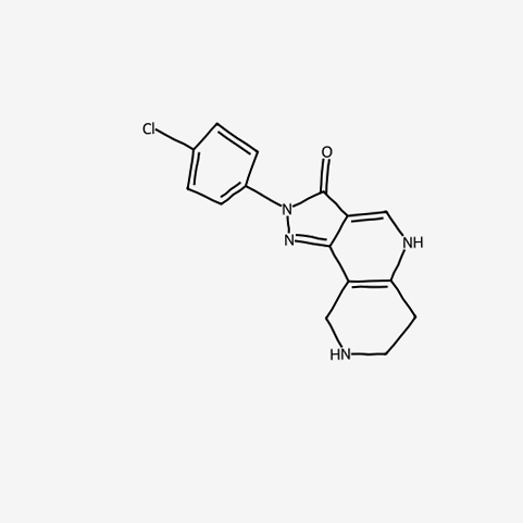 O=c1c2c[nH]c3c(c-2nn1-c1ccc(Cl)cc1)CNCC3